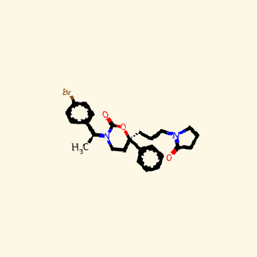 C[C@@H](c1ccc(Br)cc1)N1CC[C@](CCCN2CCCC2=O)(c2ccccc2)OC1=O